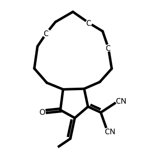 CC=C1C(=O)C2CCCCCCCCCCCC2C1=C(C#N)C#N